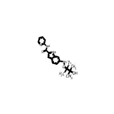 CC(C)(O)C(C)(C)OBc1ccc2cc(C(=O)Nc3ccccn3)[nH]c2c1